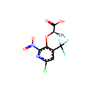 C[C@@H](Oc1c(C(F)(F)F)cc(Cl)nc1[N+](=O)[O-])C(=O)O